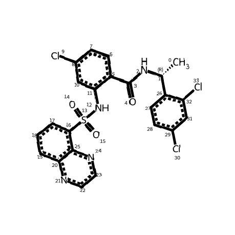 C[C@@H](NC(=O)c1ccc(Cl)cc1NS(=O)(=O)c1cccc2nccnc12)c1ccc(Cl)cc1Cl